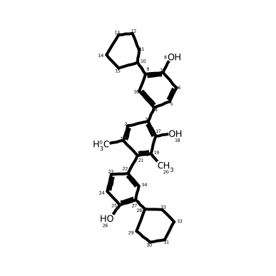 Cc1cc(-c2ccc(O)c(C3CCCCC3)c2)c(O)c(C)c1-c1ccc(O)c(C2CCCCC2)c1